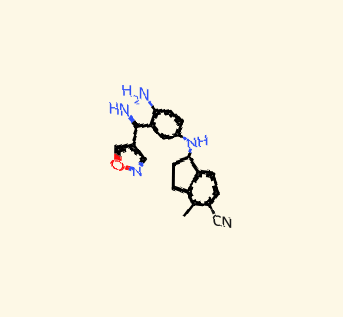 Cc1c(C#N)ccc2c1CCC2Nc1ccc(N)c(C(=N)c2cnoc2)c1